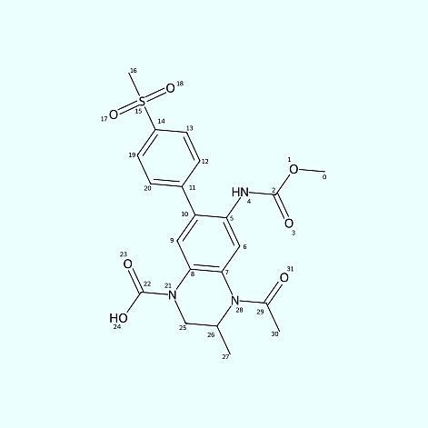 COC(=O)Nc1cc2c(cc1-c1ccc(S(C)(=O)=O)cc1)N(C(=O)O)CC(C)N2C(C)=O